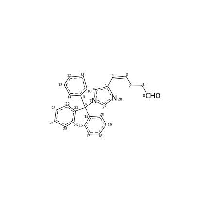 O=CCC/C=C\c1cn(C(c2ccccc2)(c2ccccc2)c2ccccc2)cn1